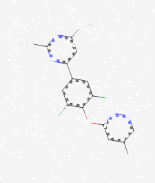 COc1cc(-c2cc(Cl)c(Oc3cc(C(C)C)cnn3)c(Cl)c2)nc(OC)n1